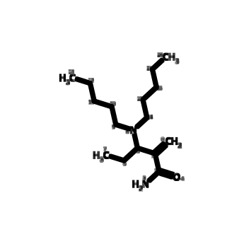 C=C(C(N)=O)C(CC)N(CCCCC)CCCCC